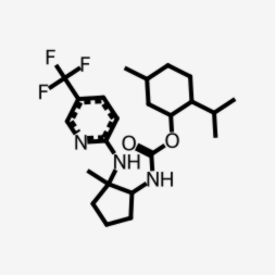 CC1CCC(C(C)C)C(OC(=O)NC2CCCC2(C)Nc2ccc(C(F)(F)F)cn2)C1